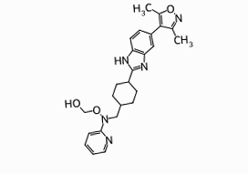 Cc1noc(C)c1-c1ccc2[nH]c(C3CCC(CN(OCO)c4ccccn4)CC3)nc2c1